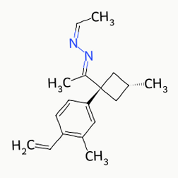 C=Cc1ccc([C@]2(/C(C)=N/N=C\C)C[C@@H](C)C2)cc1C